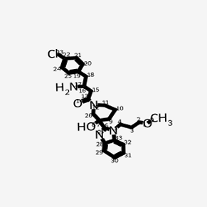 COCCCn1c(C2(O)CCCN(C(=O)CC(N)Cc3ccc(Cl)cc3)C2)nc2ccccc21